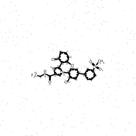 CS(=O)(=O)c1cccc(-c2ccc(-n3cc(C(=O)NCC(F)(F)F)nc3-c3c(Cl)cccc3Cl)c(Cl)c2)c1